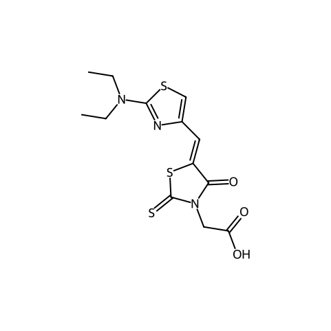 CCN(CC)c1nc(/C=C2\SC(=S)N(CC(=O)O)C2=O)cs1